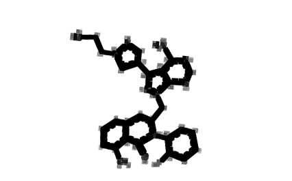 Cc1cccc2cc(Cn3nc(-c4cnn(CCO)c4)c4c(N)ncnc43)n(-c3ccccc3F)c(=O)c12